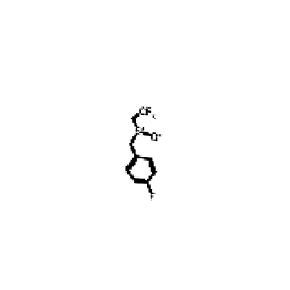 [O-][S+](Cc1ccc(F)cc1)CC(F)(F)F